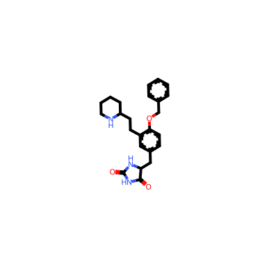 O=C1NC(=O)C(Cc2ccc(OCc3ccccc3)c(CCC3CCCCN3)c2)N1